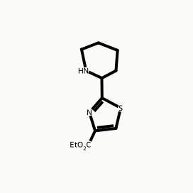 CCOC(=O)c1csc(C2CCCCN2)n1